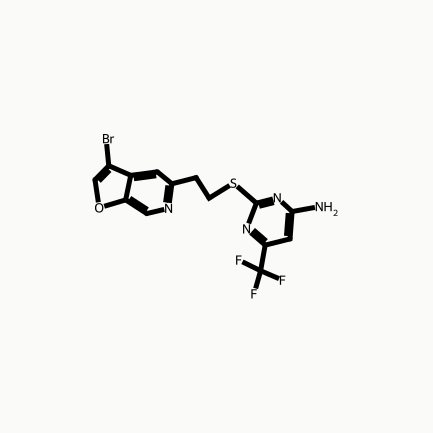 Nc1cc(C(F)(F)F)nc(SCCc2cc3c(Br)coc3cn2)n1